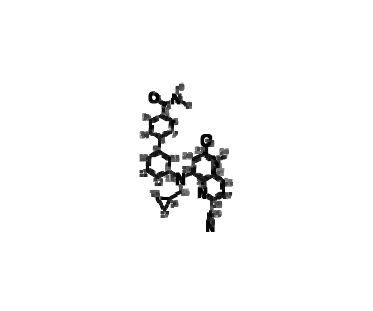 CN(C)C(=O)c1ccc(-c2cccc(N(CC3CC3)c3cc(=O)n(C)c4ccc(C#N)nc34)c2)cc1